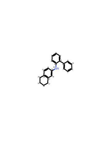 c1ccc(-c2ccccc2Nc2ccc3c(c2)CCCC3)cc1